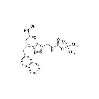 CC(C)(C)OC(=O)NCc1cn([C@@H](CC(=O)NO)Cc2ccc3ccccc3c2)nn1